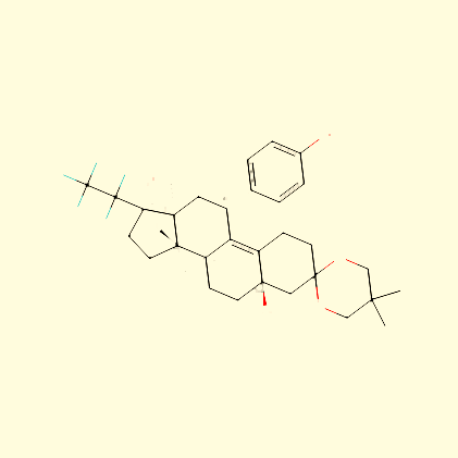 CC1(C)COC2(CCC3=C4[C@@H](CC[C@@]3(O)C2)[C@@H]2CC[C@@](O)(C(F)(F)C(F)(F)F)[C@@]2(C)C[C@@H]4c2ccc(O)cc2)OC1